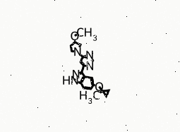 CO[C@@H]1CCN(c2cc(-c3n[nH]c4ccc(OC5(C)CC5)cc34)ncn2)C1